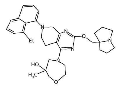 CCc1cccc2cccc(N3CCc4c(nc(OCC56CCCN5CCC6)nc4N4CCOCC(C)(O)C4)C3)c12